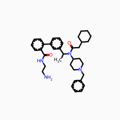 CC(c1cccc(-c2ccccc2C(=O)NCCN)c1)N(C(=O)CC1CCCCC1)C1CCN(Cc2ccccc2)CC1